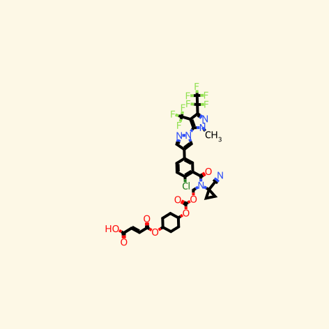 Cn1nc(C(F)(F)C(F)(F)F)c(C(F)(F)F)c1-n1cc(-c2ccc(Cl)c(C(=O)N(COC(=O)OC3CCC(OC(=O)/C=C/C(=O)O)CC3)C3(C#N)CC3)c2)cn1